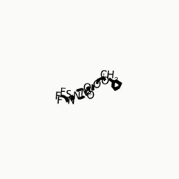 C[C@@H](COCCS(=O)(=O)N1CCN(c2ncc(C(F)(F)F)s2)CC1)OCc1ccccc1